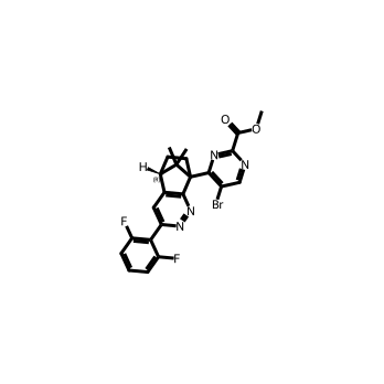 COC(=O)c1ncc(Br)c(C23CC[C@@H](c4cc(-c5c(F)cccc5F)nnc42)C3(C)C)n1